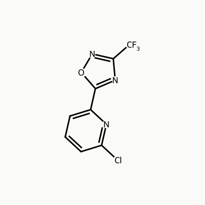 FC(F)(F)c1noc(-c2cccc(Cl)n2)n1